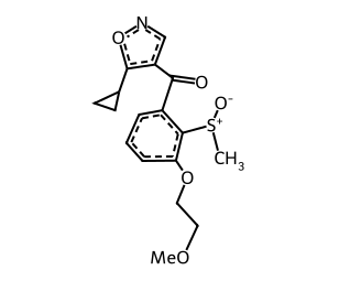 COCCOc1cccc(C(=O)c2cnoc2C2CC2)c1[S+](C)[O-]